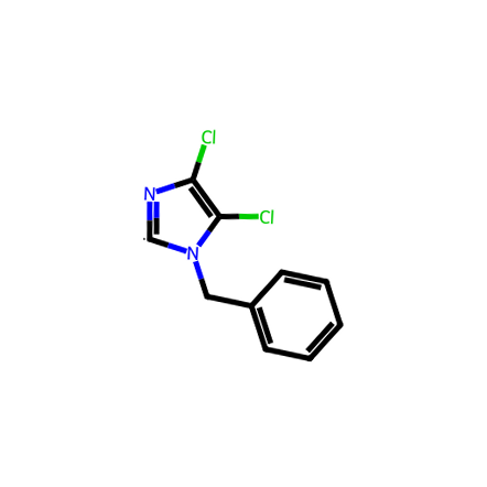 Clc1n[c]n(Cc2ccccc2)c1Cl